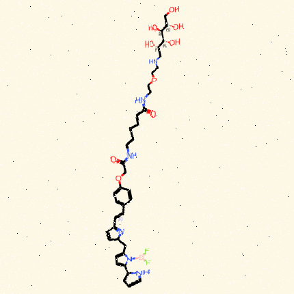 O=C(CCCCCNC(=O)COc1ccc(/C=C/C2=NC(Cc3ccc(-c4ccc[nH]4)n3B(F)F)C=C2)cc1)NCCOCCNC[C@H](O)[C@@H](O)[C@@H](O)[C@@H](O)CO